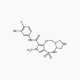 Cn1cc2c(c1C(=O)Nc1ccc(F)c(C#N)c1)OCC1CNCC1NS2(=O)=O